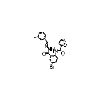 Cc1cccc(C=NNC(=O)c2cc(Br)ccc2NC(=O)c2ccno2)c1